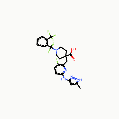 Cc1cc(Nc2ccc(F)c(CC3(C(=O)O)CCN(C(F)(F)c4ccccc4C(F)(F)F)CC3)n2)n[nH]1